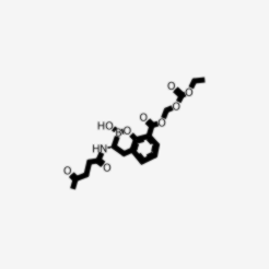 CCOC(=O)OCOC(=O)c1cccc2c1OB(O)[C@@H](NC(=O)CCC(C)=O)C2